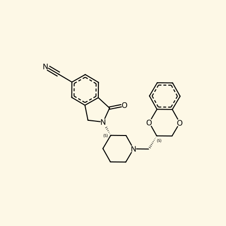 N#Cc1ccc2c(c1)CN([C@H]1CCCN(C[C@H]3COc4ccccc4O3)C1)C2=O